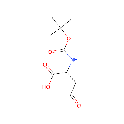 CC(C)(C)OC(=O)N[C@H](CC=O)C(=O)O